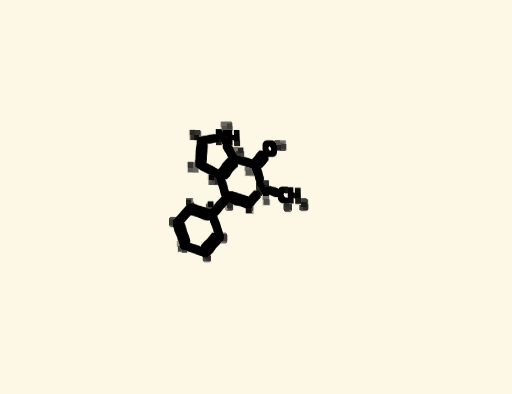 Cn1cc(-c2cc[c]cc2)c2cc[nH]c2c1=O